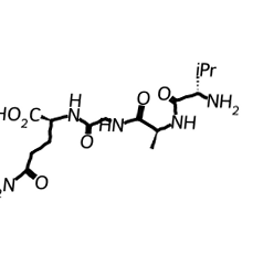 CC(C)[C@H](N)C(=O)N[C@@H](C)C(=O)NCC(=O)N[C@@H](CCC(N)=O)C(=O)O